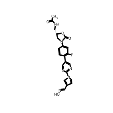 CC(=O)NC[C@H]1CN(c2ccc(-c3cnc(-n4ccc(C=NO)c4)nc3)c(F)c2)C(=O)O1